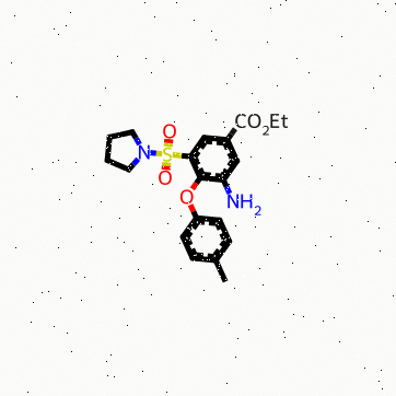 CCOC(=O)c1cc(N)c(Oc2ccc(C)cc2)c(S(=O)(=O)N2CCCC2)c1